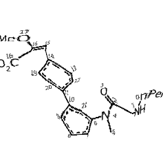 CCCCCNC(=O)N(C)c1cccc(-c2ccc(/C=C(/OC)C(=O)O)cc2)c1